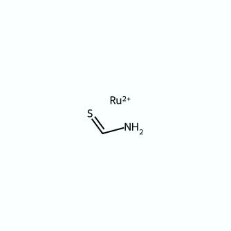 NC=S.[Ru+2]